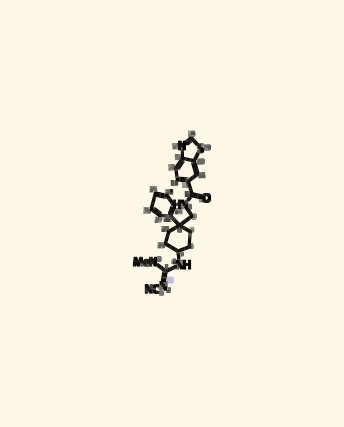 CN/C(=N\C#N)NC1CCC(CNC(=O)c2ccc3ncsc3c2)(c2ccccc2)CC1